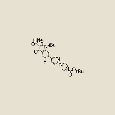 CCC(C)n1c2cc(-c3ccc(N4CCN(C(=O)OC(C)(C)C)CC4)nc3)c(F)cc2c(=O)c2c(=O)[nH]sc21